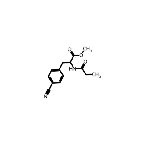 CCC(=O)NC(Cc1ccc(C#N)cc1)C(=O)OC